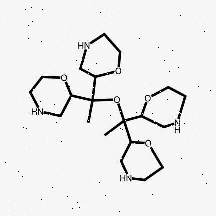 CC(OC(C)(C1CNCCO1)C1CNCCO1)(C1CNCCO1)C1CNCCO1